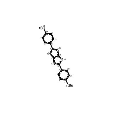 CC(C)(C)c1ccc(-c2nc3nc(-c4ccc(C(C)(C)C)cc4)sc3s2)cc1